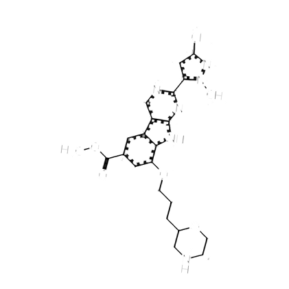 COC(=O)c1cc(OCCCC2CNCCO2)c2[nH]c3nc(-c4cc(C)nn4C)ncc3c2c1